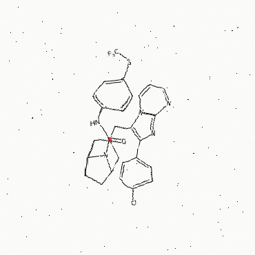 O=C(Nc1ccc(SC(F)(F)F)cc1)N1C2CCC1CN(Cc1c(-c3ccc(Cl)cc3)nc3ncccn13)C2